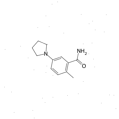 Cc1ccc(N2CCCC2)cc1C(N)=O